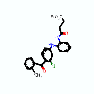 CCOC(=O)CCC(=O)Nc1ccccc1Nc1ccc(C(=O)c2ccccc2C)c(Cl)c1